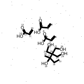 C=CC(=O)O.C=CC(=O)O.C=CC(=O)O.CCC(C)(O)C(CO)(CO)CO